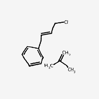 C=C(C)C.ClCC=Cc1ccccc1